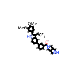 COc1ccc(-c2[nH]c3ccc(-c4cccc(C(=O)N5CC6CNCC6C5)c4)cc3c2CC(F)(F)F)cc1OC